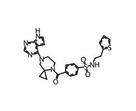 O=C(c1ccc(S(=O)(=O)NCCc2cccs2)cc1)N1CCN(c2ncnc3[nH]ccc23)CC12CC2